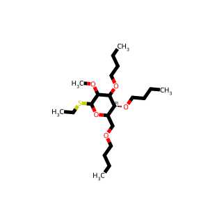 CCCCOCC1OC(SCC)C(OC)C(OCCCC)[C@@H]1OCCCC